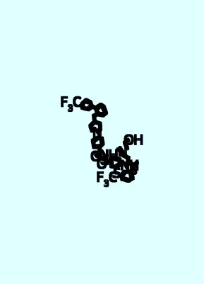 CC(Sc1ccccc1)C(CCN(C)CCO)Nc1ccc([S+]([O-])NC(=O)c2ccc(N3CCC(Cc4ccccc4-c4ccc(C(F)(F)F)cc4)CC3)cc2)cc1SC(F)(F)F